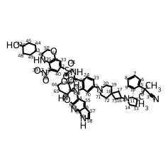 CC(C)(C#N)c1ccccc1[C@@H]1CCCN1C1CC2(CCN(c3ccc(C(=O)NS(=O)(=O)c4cc5c(c([N+](=O)[O-])c4)N[C@H](C4CCC(O)CC4)CO5)c(N4c5cc6cc[nH]c6nc5O[C@H]5CCOC[C@@H]54)c3)CC2)C1